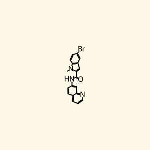 Cn1c(C(=O)Nc2ccc3cccnc3c2)cc2cc(Br)ccc21